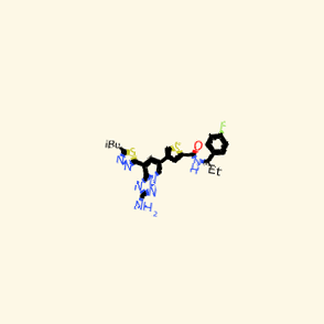 CCC(C)c1nnc(-c2cc(-c3csc(C(=O)N[C@@H](CC)c4ccc(F)cc4)c3)cn3nc(N)nc23)s1